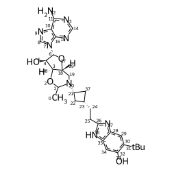 CC1O[C@H]2[C@@H](O)[C@H](n3cnc4c(N)ncnc43)O[C@@H]2CN1[C@H]1C[C@@H](CCc2nc3cc(C(C)(C)C)c(O)cc3[nH]2)C1